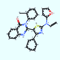 C=CN(c1ccco1)c1nc(-c2ccccc2)c(-c2nc3ccccc3c(=O)n2-c2ccccc2C)s1